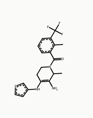 Cc1c(C(=O)N2CCC(Nc3ccsc3)=C(N)C2C)cccc1C(F)(F)F